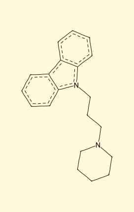 c1ccc2c(c1)c1ccccc1n2CCCN1CCCCC1